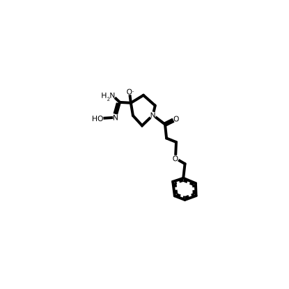 NC(=NO)C1([O])CCN(C(=O)CCOCc2ccccc2)CC1